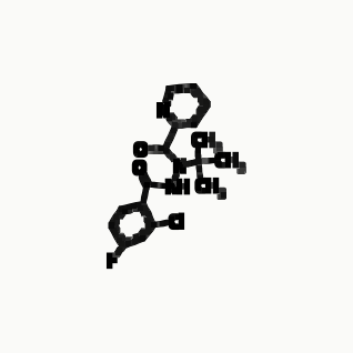 CC(C)(C)N(NC(=O)c1ccc(F)cc1Cl)C(=O)c1ccccn1